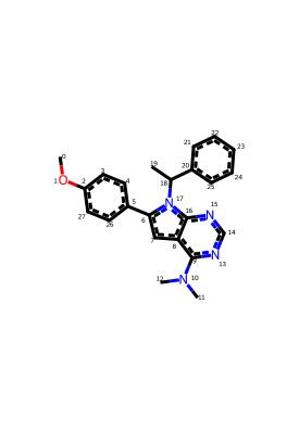 COc1ccc(-c2cc3c(N(C)C)ncnc3n2C(C)c2ccccc2)cc1